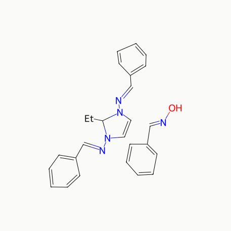 CCC1N(N=Cc2ccccc2)C=CN1N=Cc1ccccc1.ON=Cc1ccccc1